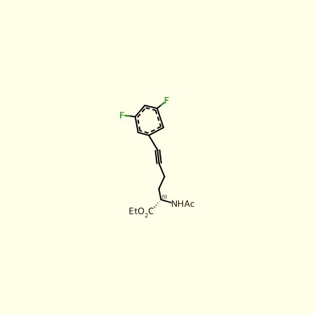 CCOC(=O)[C@H](CCC#Cc1cc(F)cc(F)c1)NC(C)=O